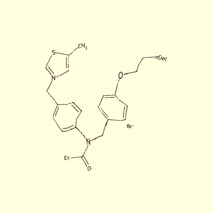 CCCCCCCCCCCCOc1ccc(CN(C(=O)CC)c2ccc(C[n+]3csc(C)c3)cc2)cc1.[Br-]